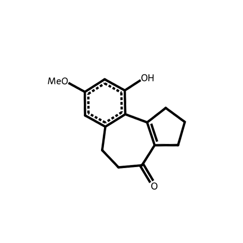 COc1cc(O)c2c(c1)CCC(=O)C1=C2CCC1